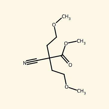 COCCC(C#N)(CCOC)C(=O)OC